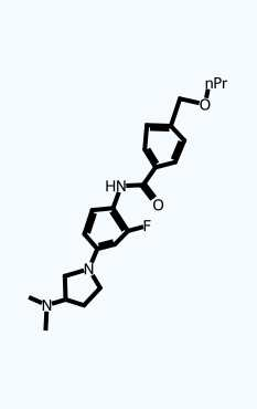 CCCOCc1ccc(C(=O)Nc2ccc(N3CCC(N(C)C)C3)cc2F)cc1